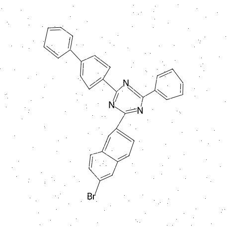 Brc1ccc2cc(-c3nc(-c4ccccc4)nc(-c4ccc(-c5ccccc5)cc4)n3)ccc2c1